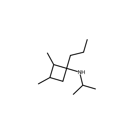 CCCC1(NC(C)C)CC(C)C1C